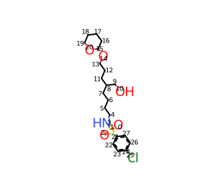 O=S(=O)(NCCCCC(CO)CCCOC1CCCCO1)c1ccc(Cl)cc1